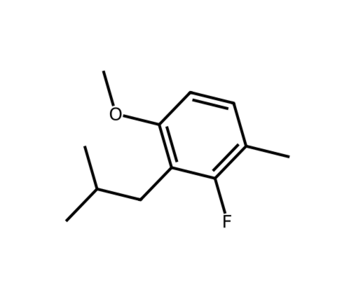 COc1ccc(C)c(F)c1CC(C)C